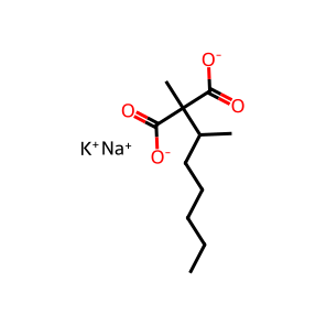 CCCCCC(C)C(C)(C(=O)[O-])C(=O)[O-].[K+].[Na+]